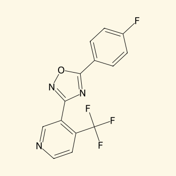 Fc1ccc(-c2nc(-c3cnccc3C(F)(F)F)no2)cc1